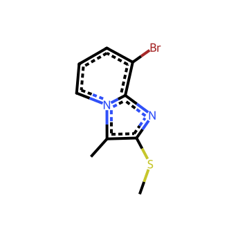 CSc1nc2c(Br)cccn2c1C